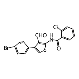 O=Cc1c(-c2ccc(Br)cc2)csc1NC(=O)c1ccccc1Cl